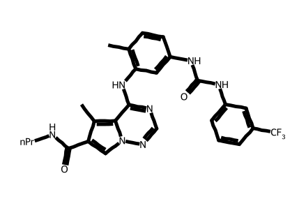 CCCNC(=O)c1cn2ncnc(Nc3cc(NC(=O)Nc4cccc(C(F)(F)F)c4)ccc3C)c2c1C